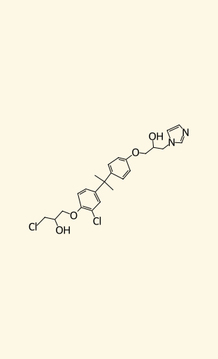 CC(C)(c1ccc(OCC(O)Cn2ccnc2)cc1)c1ccc(OCC(O)CCl)c(Cl)c1